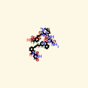 CN1CC[C@H]2CC[C@@H](C(=O)N[C@@H](CCC(N)=O)C(=O)N[C@H](C(=O)N3CCC(CCC#Cc4cccc5c4CN(C4CCC(=O)NC4=O)C5=O)CC3)c3ccccc3)N2C(=O)[C@@H](NC(=O)c2cc3cc(C(F)(F)P(=O)(O)O)ccc3s2)C1